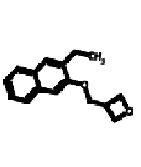 CCc1cc2ccccc2cc1OCC1COC1